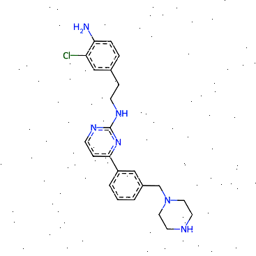 Nc1ccc(CCNc2nccc(-c3cccc(CN4CCNCC4)c3)n2)cc1Cl